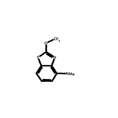 CNc1cccc2sc(OC(F)(F)F)nc12